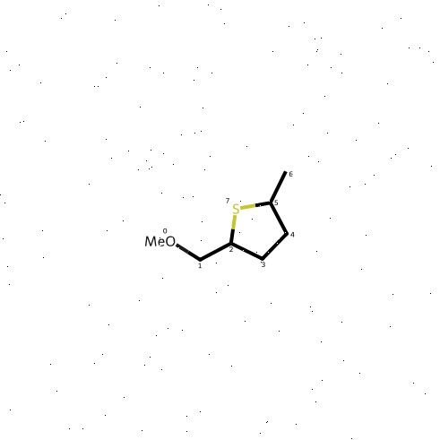 COCC1CCC(C)S1